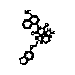 CC[C@]12CC[C@](CCOc3ccc4c(c3)CCC4)(O1)[C@@H]1C(=O)N(c3ccc(C#N)c4ccccc34)C(=O)[C@@H]12